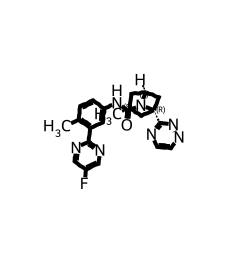 Cc1ccc(NC(=O)N2[C@H]3C[C@H](C)C[C@]2(c2nccnn2)C3)cc1-c1ncc(F)cn1